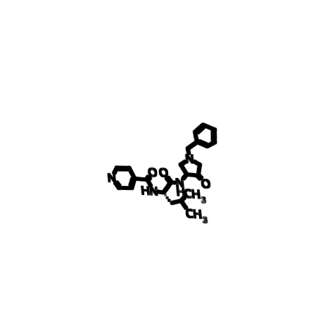 CC(C)C[C@H](NC(=O)c1ccncc1)C(=O)NC1CN(Cc2ccccc2)CC1=O